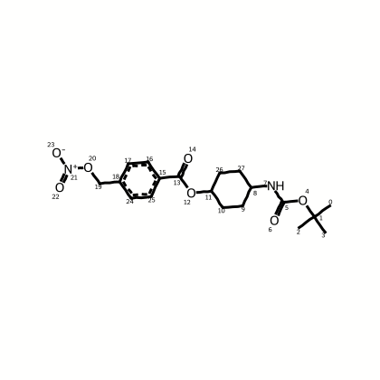 CC(C)(C)OC(=O)NC1CCC(OC(=O)c2ccc(CO[N+](=O)[O-])cc2)CC1